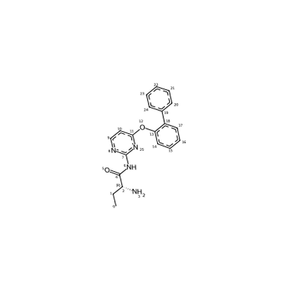 CC[C@@H](N)C(=O)Nc1nccc(Oc2ccccc2-c2ccccc2)n1